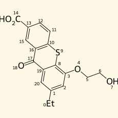 CCc1cc(OCCO)c2sc3ccc(C(=O)O)cc3c(=O)c2c1